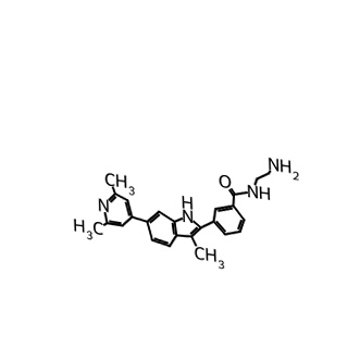 Cc1cc(-c2ccc3c(C)c(-c4cccc(C(=O)NCCN)c4)[nH]c3c2)cc(C)n1